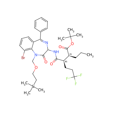 CCC[C@H](C(=O)OC(C)(C)C)[C@@H](CCC(F)(F)F)C(=O)NC1N=C(c2ccccc2)c2cccc(Br)c2N(COCC[Si](C)(C)C)C1=O